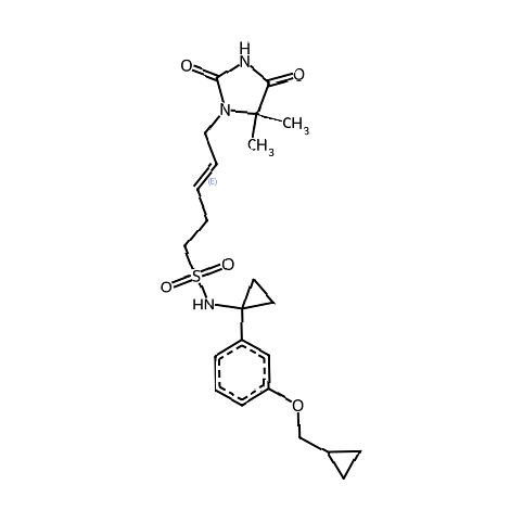 CC1(C)C(=O)NC(=O)N1C/C=C/CCS(=O)(=O)NC1(c2cccc(OCC3CC3)c2)CC1